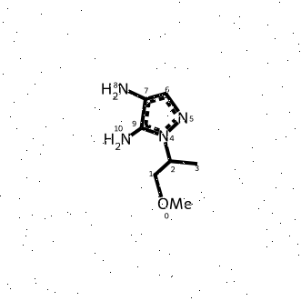 COCC(C)n1ncc(N)c1N